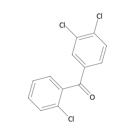 O=C(c1ccc(Cl)c(Cl)c1)c1ccccc1Cl